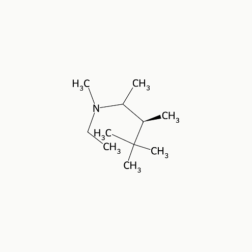 CCN(C)C(C)[C@@H](C)C(C)(C)C